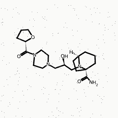 NC(=O)[C@]12C[CH]C[C@H](CC1)N2C[C@H](O)CN1CCN(C(=O)[C@@H]2CCCO2)CC1